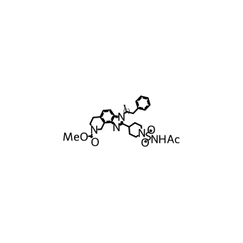 COC(=O)N1CCc2ccc3c(nc(C4CCN(S(=O)(=O)NC(C)=O)CC4)n3[C@@H](C)Cc3ccccc3)c2C1